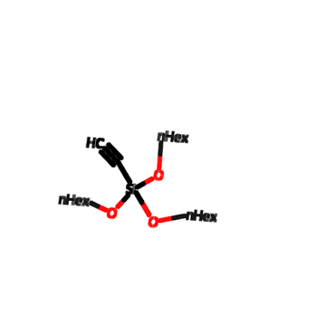 C#C[Si](OCCCCCC)(OCCCCCC)OCCCCCC